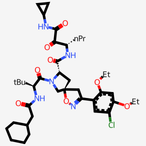 CCC[C@H](NC(=O)[C@@H]1C[C@]2(CC(c3cc(Cl)c(OCC)cc3OCC)=NO2)CN1C(=O)[C@@H](NC(=O)CC1CCCCC1)C(C)(C)C)C(=O)C(=O)NC1CC1